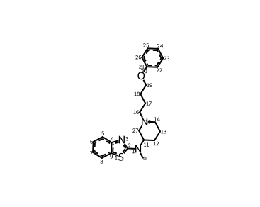 CN(c1nc2ccccc2s1)C1CCCN(CCCCOc2ccccc2)C1